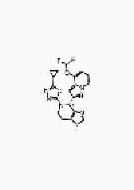 FC(F)Oc1cccn2nc([C@@H]3c4nc[nH]c4CCN3c3nnc(C4CC4)o3)cc12